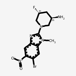 Cn1c(N2C[C@H](N)C[C@@H](F)C2)nc2cc([N+](=O)[O-])c(Br)cc21